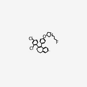 FCCCN1CC[C@H](Oc2ccc(C3=C(c4ccc(Cl)cc4Cl)CCCc4c[c]ccc43)cc2)C1